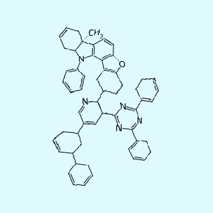 C[C@@]12CC=CCC1N(c1ccccc1)c1c2ccc2oc3c(c12)CC(C1N=CC(C2CC=CC(C4C=CC=CC4)C2)=CC1c1nc(C2=CC=CCC2)nc(C2=CC=CCC2)n1)CC3